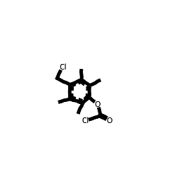 Cc1c(C)c(OC(=O)Cl)c(C)c(C)c1CCl